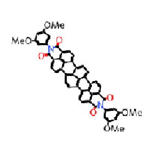 COc1cc(OC)cc(N2C(=O)c3ccc4c5ccc6c7ccc8c9c(ccc(c%10ccc(c%11ccc(c3c4%11)C2=O)c5c6%10)c97)C(=O)N(c2cc(OC)cc(OC)c2)C8=O)c1